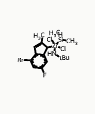 CC1=Cc2c(Br)cc(F)cc2[CH]1[Zr]([Cl])([Cl])([NH]C(C)(C)C)[SiH](C)C